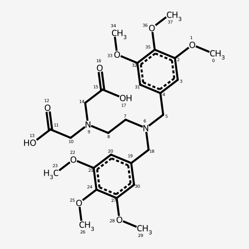 COc1cc(CN(CCN(CC(=O)O)CC(=O)O)Cc2cc(OC)c(OC)c(OC)c2)cc(OC)c1OC